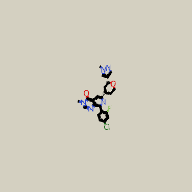 Cn1cc([C@H]2C[C@@H](c3cc4c(=O)n(C)cnc4c(-c4ccc(Cl)cc4F)n3)CCO2)cn1